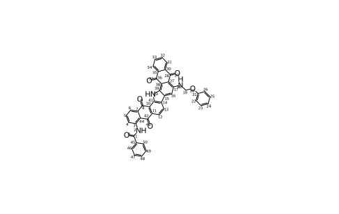 O=C(Nc1cccc2c(=O)c3c(ccc4c5cc(NCOc6ccccc6)c6c(=O)c7ccccc7c(=O)c6c5[nH]c43)c(=O)c12)c1ccccc1